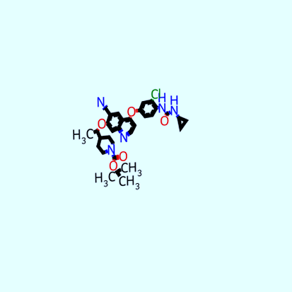 CC(Oc1cc2nccc(Oc3ccc(NC(=O)NC4CC4)c(Cl)c3)c2cc1C#N)C1CCN(C(=O)OC(C)(C)C)CC1